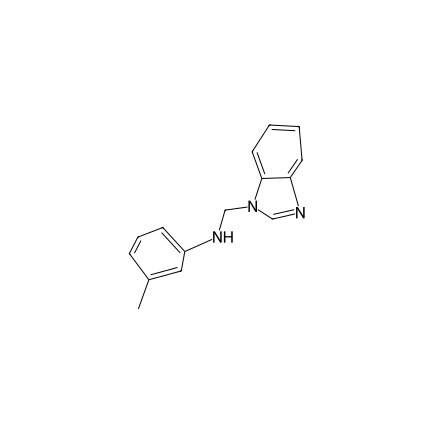 Cc1cccc(NCn2cnc3ccccc32)c1